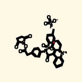 Cc1ccc(S(=O)(=O)N(C(=O)c2c3ccccc3[n+](C)c3ccccc23)c2ccc(CC(=O)ON3C(=O)CCC3=O)cc2)cc1.O=S(=O)([O-])F